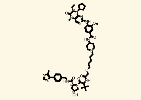 CC[C@@H]1C(=O)N(C)c2cnc(Nc3ccc(C(=O)NC4CCN(CCCCCOCC(=O)NC(C(=O)N5C[C@H](O)C[C@H]5C(=O)NCc5ccc(-c6scnc6C)cc5)C(C)(C)C)CC4)cc3OC)nc2N1C1CCCC1